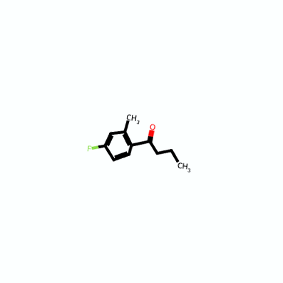 CCCC(=O)c1ccc(F)cc1C